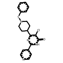 O=c1[nH]c(-c2ccncc2)nc(C2CCN(Sc3ccccc3)CC2)c1Cl